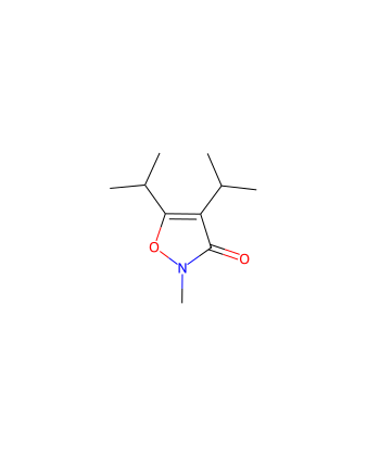 CC(C)c1on(C)c(=O)c1C(C)C